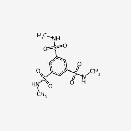 CNS(=O)(=O)c1[c]c(S(=O)(=O)NC)cc(S(=O)(=O)NC)c1